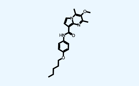 CCCCCOc1ccc(NC(=O)c2ccn3c(C)c(OC)c(C)nc23)cc1